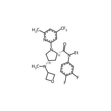 CCN(C(=O)[C@@H]1C[C@H](N(C)C2COC2)CN1c1cc(C(F)(F)F)cc(C)n1)c1ccc(F)c(F)c1